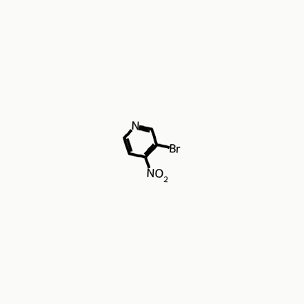 O=[N+]([O-])c1ccncc1Br